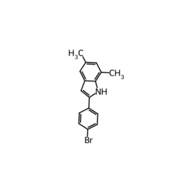 Cc1cc(C)c2[nH]c(-c3ccc(Br)cc3)cc2c1